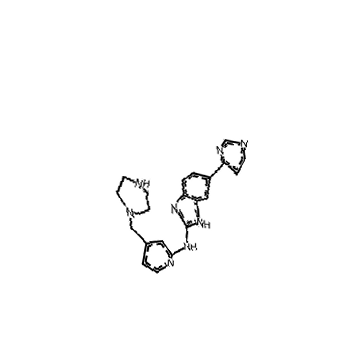 c1cc(-c2ccc3nc(Nc4cc(CN5CCNCC5)ccn4)[nH]c3c2)ncn1